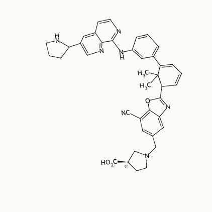 CC1(C)C(c2cccc(Nc3nccc4cc(C5CCCN5)cnc34)c2)=CC=CC1c1nc2cc(CN3CC[C@@H](C(=O)O)C3)cc(C#N)c2o1